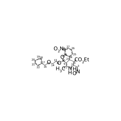 CCOC(=O)C1=C(/C=N\O)NC(C)=C(C(=O)OCCOCc2ccccc2)C1c1cccc([N+](=O)[O-])c1